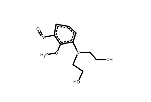 COc1c(N=O)cccc1N(CCO)CCO